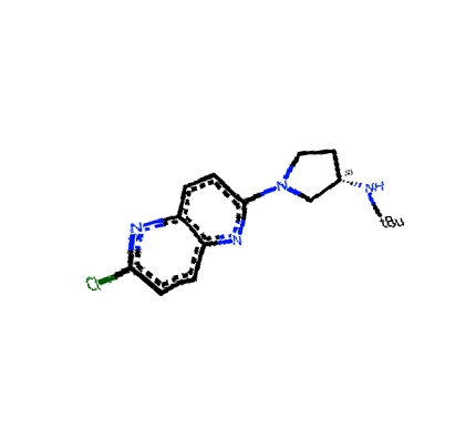 CC(C)(C)N[C@H]1CCN(c2ccc3nc(Cl)ccc3n2)C1